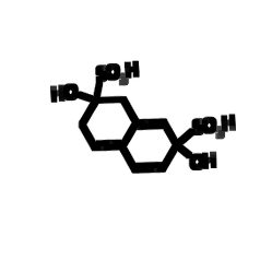 O=S(=O)(O)C1(O)C=CC2=CCC(O)(S(=O)(=O)O)CC2=C1